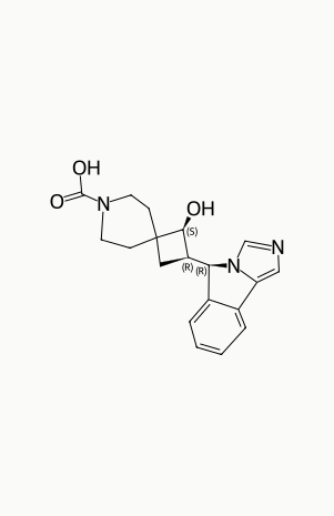 O=C(O)N1CCC2(CC1)C[C@H]([C@@H]1c3ccccc3-c3cncn31)[C@@H]2O